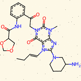 CCC=Cn1c(N2CCCC(N)C2)nc2c1c(=O)n(CC(=O)c1ccccc1NC(=O)C1COCO1)c(=O)n2C